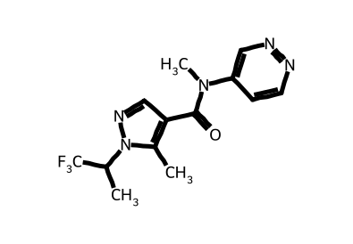 Cc1c(C(=O)N(C)c2ccnnc2)cnn1C(C)C(F)(F)F